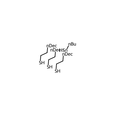 CCCCCCCCCCCCS.CCCCCCCCCCCCS.CCCCCCCCCCCCS.CCC[CH2][SnH]